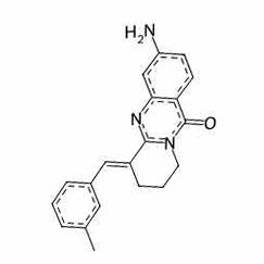 Cc1cccc(C=C2CCCn3c2nc2cc(N)ccc2c3=O)c1